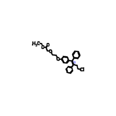 CCOC(=O)COCCOc1ccc(/C(=C(/CCCl)c2ccccc2)c2ccccc2)cc1